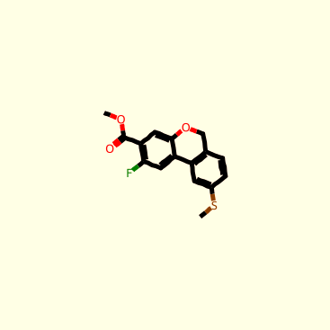 COC(=O)c1cc2c(cc1F)-c1cc(SC)ccc1CO2